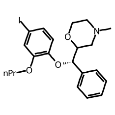 CCCOc1cc(I)ccc1O[C@@H](c1ccccc1)C1CN(C)CCO1